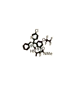 CNC(=O)C(F)(F)C(C)NC(=O)N[C@@](Cc1ccccc1)(c1cc(F)cc(OC(F)(F)C(F)F)c1)c1ccc(Cl)cn1